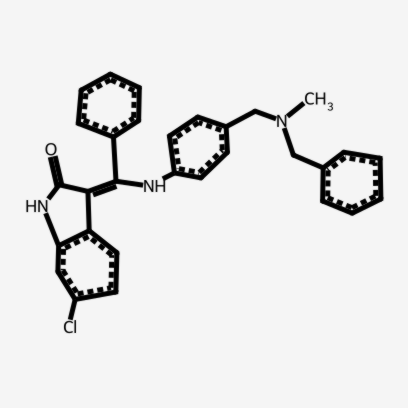 CN(Cc1ccccc1)Cc1ccc(NC(=C2C(=O)Nc3cc(Cl)ccc32)c2ccccc2)cc1